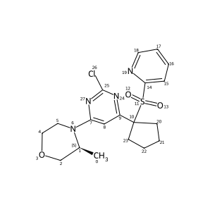 C[C@H]1COCCN1c1cc(C2(S(=O)(=O)c3ccccn3)CCCC2)nc(Cl)n1